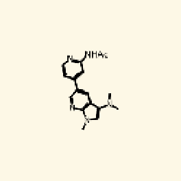 CC(=O)Nc1cc(-c2cnc3c(c2)c(N(C)C)cn3C)ccn1